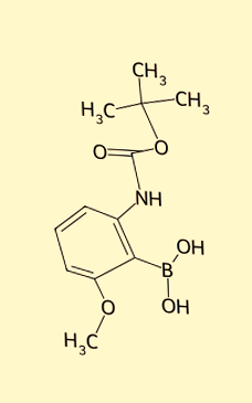 COc1cccc(NC(=O)OC(C)(C)C)c1B(O)O